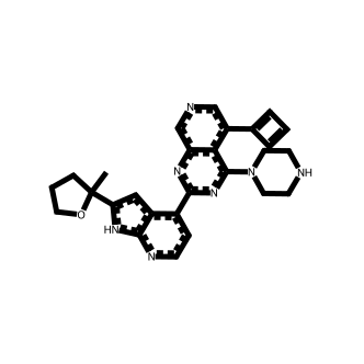 CC1(c2cc3c(-c4nc(N5CCNCC5)c5c(C6=CC=C6)cncc5n4)ccnc3[nH]2)CCCO1